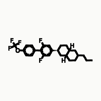 CCCC1CC[C@@H]2C[C@H](c3cc(F)c(-c4ccc(OC(F)(F)F)cc4)c(F)c3)CC[C@@H]2C1